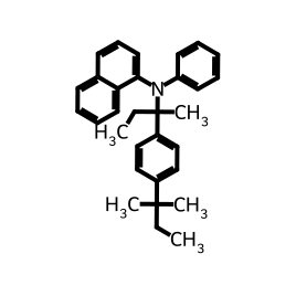 CCC(C)(C)c1ccc(C(C)(CC)N(c2ccccc2)c2cccc3ccccc23)cc1